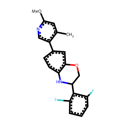 COc1cc(C)c(-c2ccc3c(c2)OCC(c2c(F)cccc2F)N3)cn1